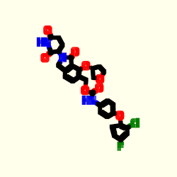 O=C1CCC(N2Cc3ccc(COC(=O)Nc4ccc(Oc5ccc(F)cc5Cl)cc4)c(O[C@@H]4CCOC4)c3C2=O)C(=O)N1